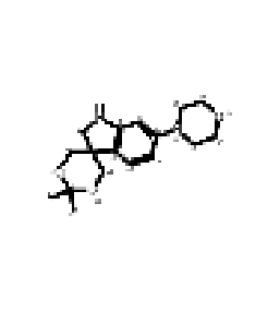 CC1(C)OCC2(CNc3cc(N4CCOCC4)ccc32)CO1